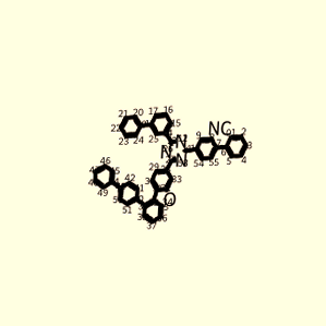 N#Cc1ccccc1-c1ccc(-c2nc(-c3cccc(-c4ccccc4)c3)nc(-c3ccc4c(c3)oc3cccc(-c5ccc(-c6ccccc6)cc5)c34)n2)cc1